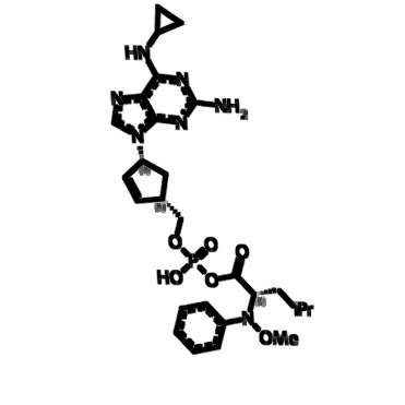 CON(c1ccccc1)[C@@H](CC(C)C)C(=O)OP(=O)(O)OC[C@@H]1C=C[C@H](n2cnc3c(NC4CC4)nc(N)nc32)C1